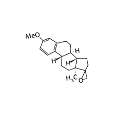 COc1ccc2c(c1)CC[C@@H]1[C@@H]2CC[C@@]2(C)[C@H]1CCC21CO1